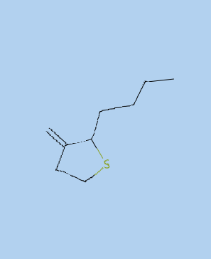 C=C1CCSC1CCCC